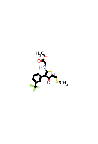 COC(=O)CNC1=C(c2cccc(C(F)(F)F)c2)C(=O)/C(=C\SC)S1